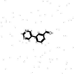 O=Cc1cccc(-c2cncnc2)c1